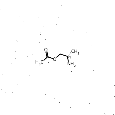 CC(=O)OC[C@H](C)N